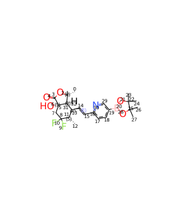 C[C@H]1OC(=O)[C@]2(O)CC(F)(F)[C@@H](C)[C@H](/C=C/c3ccc(B4OC(C)(C)C(C)(C)O4)cn3)[C@H]12